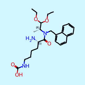 CCOC(OCC)[C@@H](C)N(Cc1cccc2ccccc12)C(=O)[C@@H](N)CCCCNC(=O)O